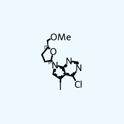 COC[C@@H]1CC[C@H](n2cc(I)c3c(Cl)ncnc32)O1